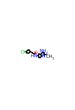 CCc1cc(N)c2cc(NC(=O)/C=C/c3ccc(Cl)cc3)ccc2n1